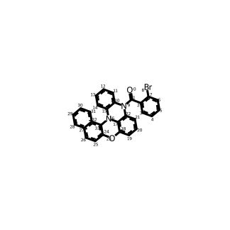 O=C(c1ccccc1Br)N1c2ccccc2N2c3c(cccc31)Oc1ccc3ccccc3c12